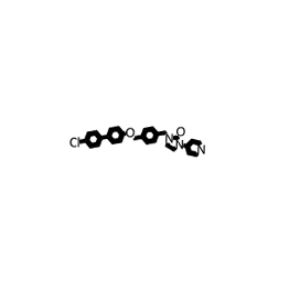 O=C1N(Cc2ccc(COc3ccc(-c4ccc(Cl)cc4)cc3)cc2)CCN1c1ccncc1